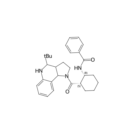 CC(C)(C)C1Nc2ccccc2C2C1CCN2C(=O)[C@H]1CCCC[C@H]1NC(=O)c1ccccc1